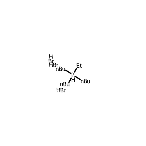 Br.Br.Br.CCCC[PH](CC)(CCCC)CCCC